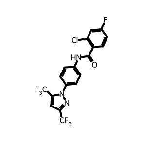 O=C(Nc1ccc(-n2nc(C(F)(F)F)cc2C(F)(F)F)cc1)c1ccc(F)cc1Cl